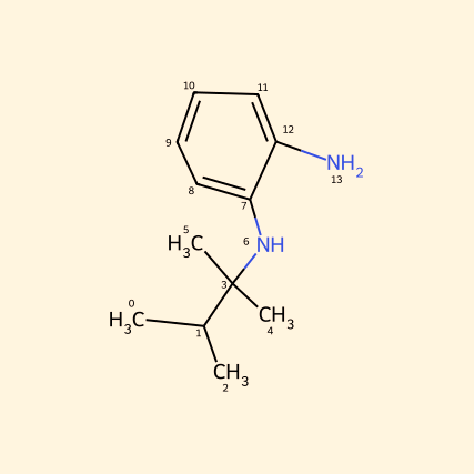 CC(C)C(C)(C)Nc1ccccc1N